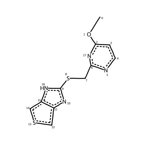 COc1ccnc(CSc2nc3cscc3[nH]2)n1